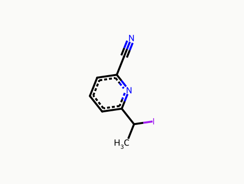 CC(I)c1cccc(C#N)n1